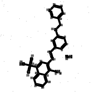 Nc1c(N=Nc2cccc(OCc3cccnc3)c2)cc(S(=O)(=O)O)c2ccccc12.[NaH]